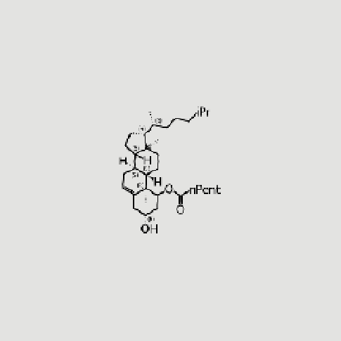 CCCCCC(=O)OC1C[C@H](O)CC2=CC[C@H]3[C@@H]4CC[C@H]([C@H](C)CCCC(C)C)[C@@]4(C)CC[C@@H]3[C@]21C